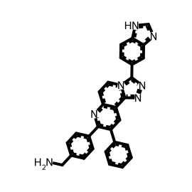 NCc1ccc(-c2nc3ccn4c(-c5ccc6[nH]cnc6c5)nnc4c3cc2-c2ccccc2)cc1